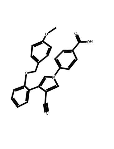 COc1ccc(COc2ccccc2-c2cn(-c3ccc(C(=O)O)cc3)cc2C#N)cc1